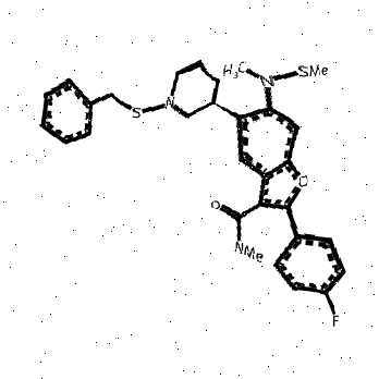 CNC(=O)c1c(-c2ccc(F)cc2)oc2cc(N(C)SC)c([C@@H]3CCCN(SCc4ccccc4)C3)cc12